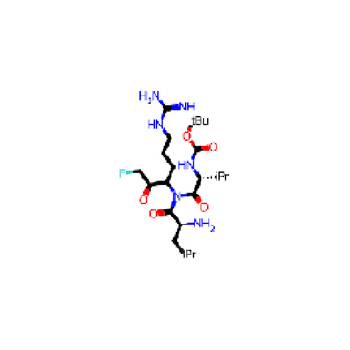 CC(C)C[C@H](N)C(=O)N(C(=O)[C@H](NC(=O)OC(C)(C)C)C(C)C)C(CCCNC(=N)N)C(=O)CF